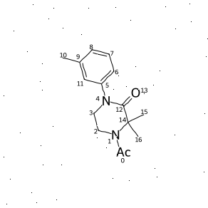 CC(=O)N1CCN(c2cccc(C)c2)C(=O)C1(C)C